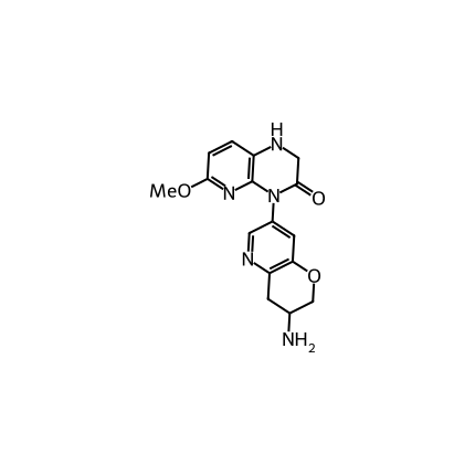 COc1ccc2c(n1)N(c1cnc3c(c1)OCC(N)C3)C(=O)CN2